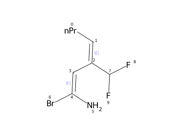 CCC/C=C(\C=C(/N)Br)C(F)F